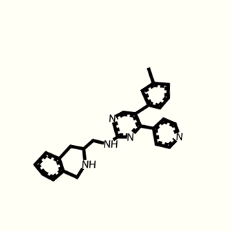 Cc1cccc(-c2cnc(NCC3Cc4ccccc4CN3)nc2-c2ccncc2)c1